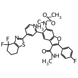 CNC(=O)c1c(-c2ccc(F)cc2)oc2cc(N(C)S(C)(=O)=O)c(-c3cc(-c4nc5c(s4)CCCC5(F)F)ccn3)cc12